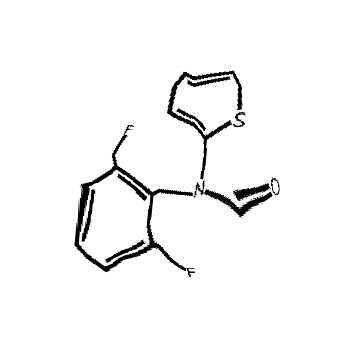 O=CN(c1cccs1)c1c(F)cccc1F